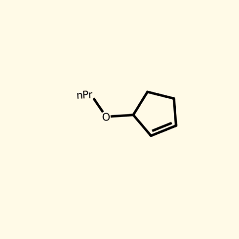 CCCOC1C=CCC1